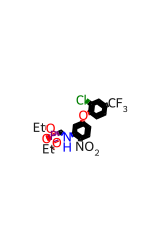 CCOP(=O)(CNc1cc(Oc2ccc(C(F)(F)F)cc2Cl)ccc1[N+](=O)[O-])OCC